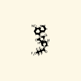 N#Cc1ccc(N2C(=O)[C@@H]3C4C[C@H](CN4C(=O)C(F)(F)C(F)(F)C(F)(F)F)N3C2=O)c2cccnc12